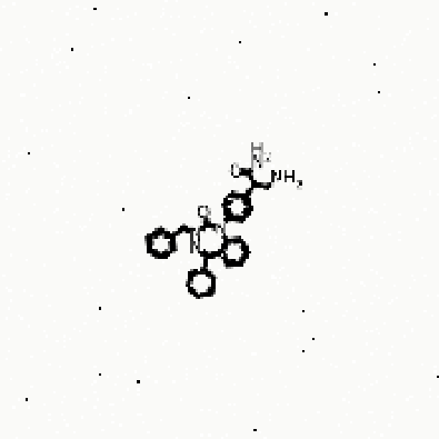 NCC(C(N)=O)c1ccc(N2C(=O)N(Cc3ccccc3)N=C(C3CCCCC3)c3ccccc32)cc1